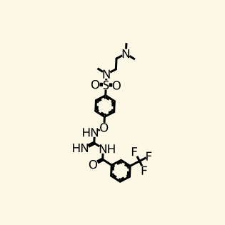 CN(C)CCN(C)S(=O)(=O)c1ccc(ONC(=N)NC(=O)c2cccc(C(F)(F)F)c2)cc1